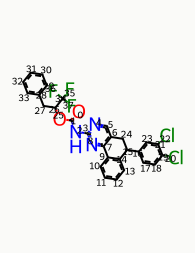 O=C(Nc1ncc2c(n1)-c1ccccc1C(c1ccc(Cl)c(Cl)c1)C2)OC(Cc1ccccc1)C(F)(F)F